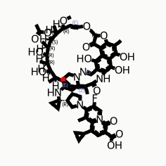 CO[C@H]1/C=C/O[C@@]2(C)Oc3c(C)c(O)c4c(O)c(c(/C=N/N5CCC(NC6([C@@H]7CCN(c8c(F)cn9c(=O)c(C(=O)O)cc(C%10CC%10)c9c8C)C7)CC6)CC5)c(O)c4c3C2=O)NC(=O)/C(C)=C\C=C\[C@H](C)[C@H](O)[C@@H](C)[C@@H](O)[C@@H](C)[C@H](OC(C)=O)[C@@H]1C